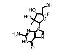 C[C@]1(O)[C@H](n2cnc3c(=O)[nH]c(N)nc32)O[C@](F)(CO)[C@H]1O